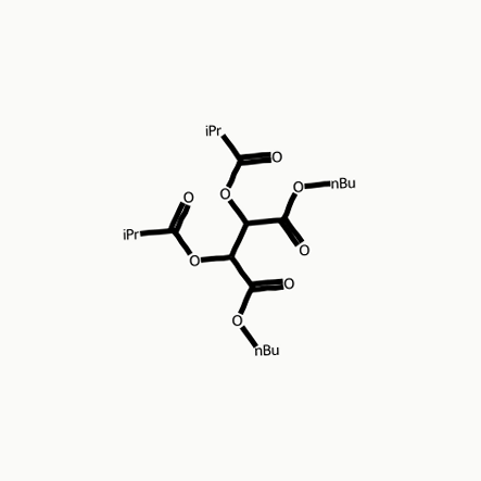 CCCCOC(=O)C(OC(=O)C(C)C)C(OC(=O)C(C)C)C(=O)OCCCC